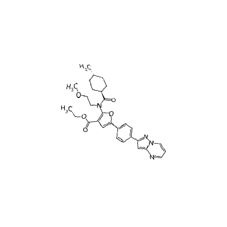 CCOC(=O)c1cc(-c2ccc(-c3cc4ncccn4n3)cc2)oc1N(CCOC)C(=O)[C@H]1CC[C@H](C)CC1